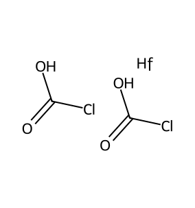 O=C(O)Cl.O=C(O)Cl.[Hf]